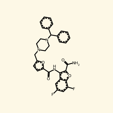 NC(=O)c1oc2c(F)cc(F)cc2c1NC(=O)c1ccc(CN2CCN(C(c3ccccc3)c3ccccc3)CC2)o1